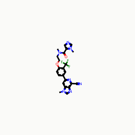 CN(CCOc1ccc(-c2cc3c(ncn3C)c(C#N)n2)cc1C(F)(F)F)C(=O)c1cncn1C